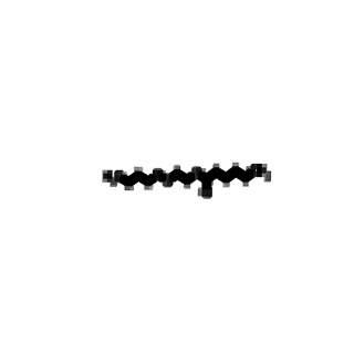 CCCCCC(=O)OCCOOCCCC